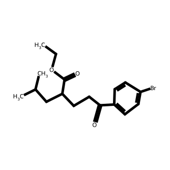 CCOC(=O)C(CCC(=O)c1ccc(Br)cc1)CC(C)C